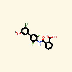 COc1cc(Cl)cc(-c2cc(F)c(NC(=O)c3ccccc3C(=O)O)c(F)c2)c1